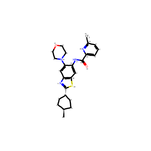 C[C@H]1CC[C@H](c2nc3cc(N4CCOCC4)c(NC(=O)c4cccc(C(F)(F)F)n4)cc3s2)CC1